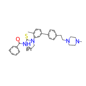 Cc1ccc(-c2ccc(CCN3CCN(C)CC3)cc2)cc1N(CC(C)C)C(=S)NC(=O)c1ccccc1